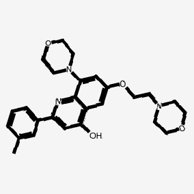 Cc1cccc(-c2cc(O)c3cc(OCCN4CCOCC4)cc(N4CCOCC4)c3n2)c1